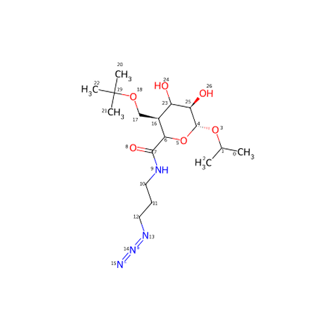 CC(C)O[C@@H]1OC(C(=O)NCCCN=[N+]=[N-])[C@@H](COC(C)(C)C)C(O)[C@H]1O